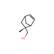 C[C@@]1(CO)CC2C=CC1C2